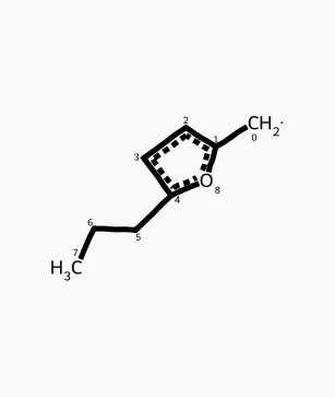 [CH2]c1ccc(CCC)o1